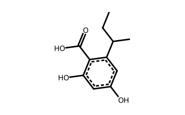 CCC(C)c1cc(O)cc(O)c1C(=O)O